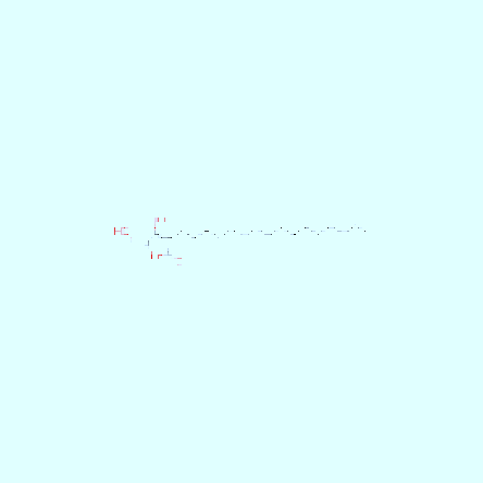 CCCCCCCCCCCCCCCCC1=C(O)C(CO)OC1=O